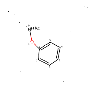 [CH2]C(=O)NOc1ccccc1